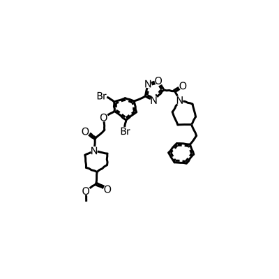 COC(=O)C1CCN(C(=O)COc2c(Br)cc(-c3noc(C(=O)N4CCC(Cc5ccccc5)CC4)n3)cc2Br)CC1